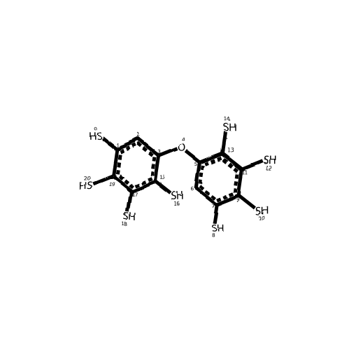 Sc1cc(Oc2cc(S)c(S)c(S)c2S)c(S)c(S)c1S